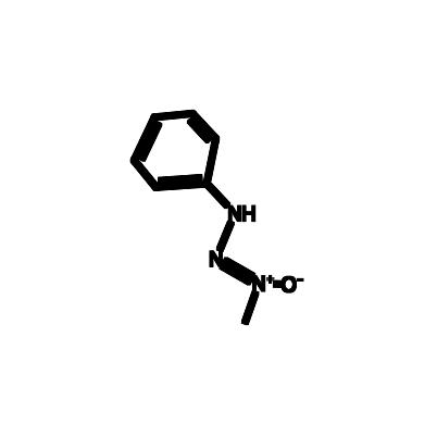 C[N+]([O-])=NNc1ccccc1